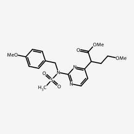 COCCC(C(=O)OC)c1ccnc(N(Cc2ccc(OC)cc2)S(C)(=O)=O)n1